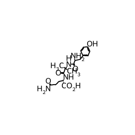 CC(C)(NC(=O)[C@@H](N)Cc1ccc(O)cc1)C(=O)N[C@@H](CCC(N)=O)C(=O)O